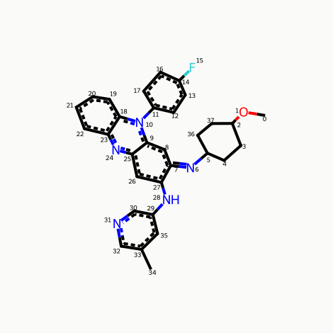 COC1CCC(/N=c2\cc3n(-c4ccc(F)cc4)c4ccccc4nc-3cc2Nc2cncc(C)c2)CC1